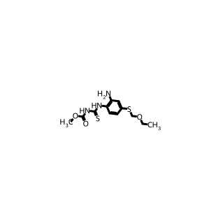 CCOCSc1ccc(NC(=S)NC(=O)OC)c(N)c1